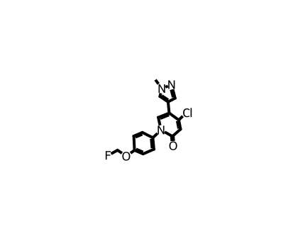 Cn1cc(-c2cn(-c3ccc(OCF)cc3)c(=O)cc2Cl)cn1